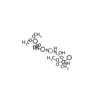 CCOC(=O)c1c(C)[nH]c(-c2ccccc2)c1OC[C@H](O)CNC1CCN(c2ccc(NS(=O)(=O)c3ccc(OC)c(OC)c3)cc2)CC1